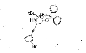 CC(C)(C)[S@@+]([O-])NC(C#Cc1cccc(Br)c1)CCO[Si](c1ccccc1)(c1ccccc1)C(C)(C)C